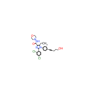 CCc1c(C(=O)NN2CCOCC2)nc(-c2ccc(Cl)cc2Cl)n1-c1ccc(C#CCCCO)cc1